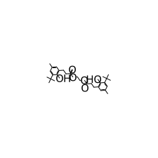 Cc1cc(CCC(=O)OCCOC(=O)CCc2cc(C)cc(C(C)(C)C)c2O)c(O)c(C(C)(C)C)c1